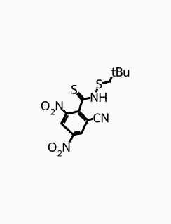 CC(C)(C)CSNC(=S)c1c(C#N)cc([N+](=O)[O-])cc1[N+](=O)[O-]